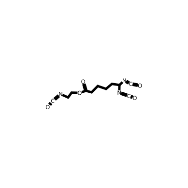 O=C=NCCOC(=O)CCCCC(N=C=O)N=C=O